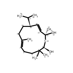 C/C1=C\CCC(C)(C)[C@H](O)C[C@](C)(O)/C=C/[C@H](C(C)C)CC1